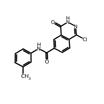 Cc1cccc(NC(=O)c2ccc3c(Cl)n[nH]c(=O)c3c2)c1